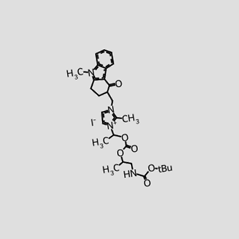 Cc1n(CC2CCc3c(c4ccccc4n3C)C2=O)cc[n+]1C(C)OC(=O)OC(C)CNC(=O)OC(C)(C)C.[I-]